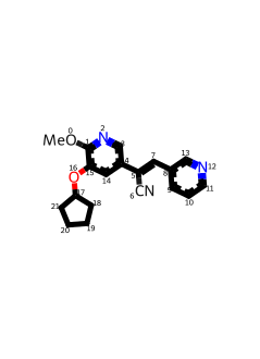 COc1ncc(C(C#N)=Cc2cccnc2)cc1OC1CCCC1